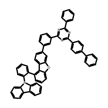 c1ccc(-c2ccc(-c3nc(-c4ccccc4)nc(-c4cccc(-c5ccc6c(c5)oc5cccc(-c7ccccc7-n7c8ccccc8c8ccccc87)c56)c4)n3)cc2)cc1